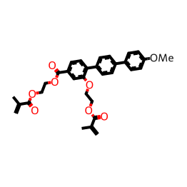 C=C(C)C(=O)OCCOC(=O)c1ccc(-c2ccc(-c3ccc(OC)cc3)cc2)c(OCCOC(=O)C(=C)C)c1